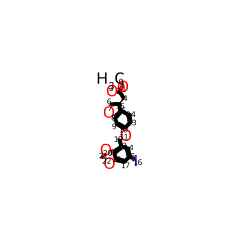 COC(=O)C[C@@H]1COc2cc(OCc3cc(I)cc4c3OCO4)ccc21